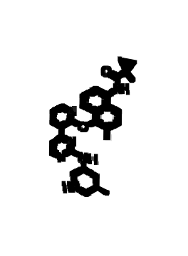 Cc1ccc2c(NC(=O)C3(C)CC3)cccc2c1Oc1ncccc1-c1ccnc(N[C@@H]2CNC[C@H](C)C2)n1